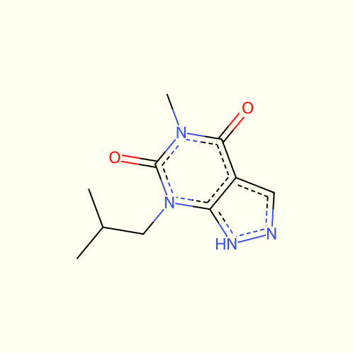 CC(C)Cn1c(=O)n(C)c(=O)c2cn[nH]c21